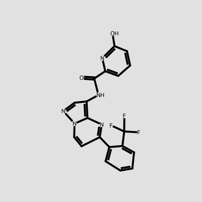 O=C(Nc1cnn2ccc(-c3ccccc3C(F)(F)F)nc12)c1cccc(O)n1